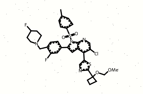 COCOC1(c2ncc(-c3c(Cl)cnc4c3cc(-c3ccc(CN5CCC(F)CC5)c(F)c3)n4S(=O)(=O)c3ccc(C)cc3)s2)CCC1